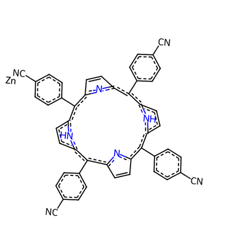 N#Cc1ccc(-c2c3nc(c(-c4ccc(C#N)cc4)c4ccc([nH]4)c(-c4ccc(C#N)cc4)c4nc(c(-c5ccc(C#N)cc5)c5ccc2[nH]5)C=C4)C=C3)cc1.[Zn]